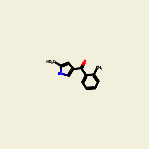 Cc1ccccc1C(=O)c1c[nH]c(C(=O)O)c1